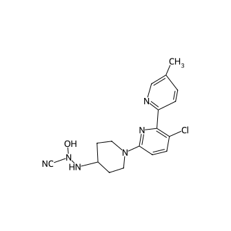 Cc1ccc(-c2nc(N3CCC(NN(O)C#N)CC3)ccc2Cl)nc1